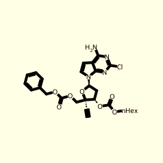 C#C[C@]1(COC(=O)OCc2ccccc2)O[C@@H](n2ccc3c(N)nc(Cl)nc32)C[C@@H]1OC(=O)OCCCCCC